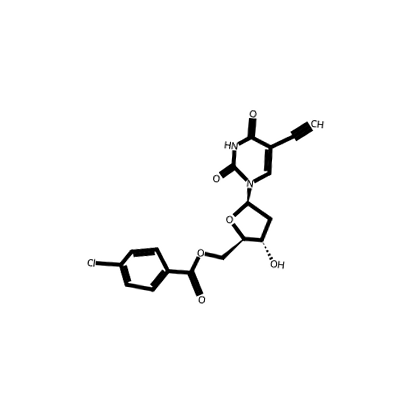 C#Cc1cn([C@H]2C[C@H](O)[C@@H](COC(=O)c3ccc(Cl)cc3)O2)c(=O)[nH]c1=O